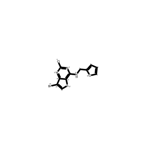 Clc1nc(NCc2ccco2)c2scc(Br)c2n1